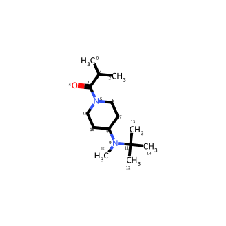 CC(C)C(=O)N1CCC(N(C)C(C)(C)C)CC1